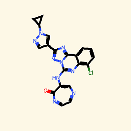 O=c1nccncc1Nc1nc2c(Cl)cccc2c2nc(-c3cnn(C4CC4)c3)nn12